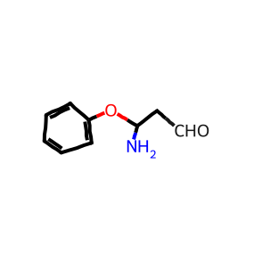 NC(CC=O)Oc1ccccc1